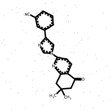 CC1(C)CC(=O)c2ccc(-n3cnc(-c4cccc(C#N)c4)c3)nc2C1